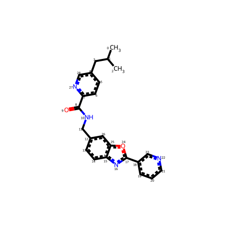 CC(C)Cc1ccc(C(=O)NCc2ccc3nc(-c4cccnc4)oc3c2)nc1